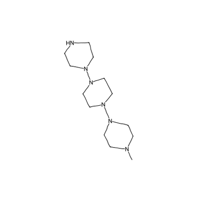 CN1CCN(N2CCN(N3CCNCC3)CC2)CC1